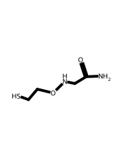 NC(=O)CNOCCS